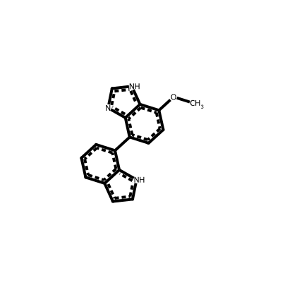 COc1ccc(-c2cccc3cc[nH]c23)c2nc[nH]c12